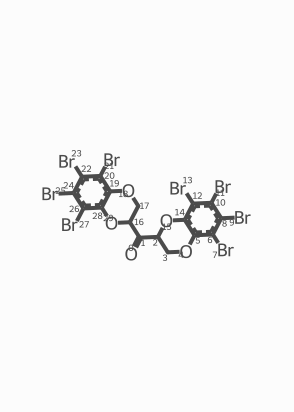 O=C(C1COc2c(Br)c(Br)c(Br)c(Br)c2O1)C1COc2c(Br)c(Br)c(Br)c(Br)c2O1